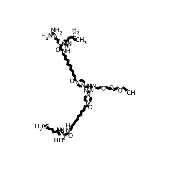 C#CCOCCOCCOCCNc1nc(N2CCN(C(=O)CCCCCCCCCCNC(=O)[C@H](CO)n3cc(CCCSC)nn3)CC2)nc(N2CCN(C(=O)CCCCCCCCCCNC(=O)[C@H](CCCN=C(N)N)n3cc(C[C@@H](C)CC)nn3)CC2)n1